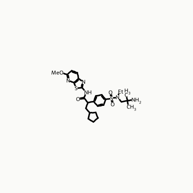 CCN(CC(C)(C)N)S(=O)(=O)c1ccc(C(CC2CCCC2)C(=O)Nc2nc3ccc(OC)nc3s2)cc1